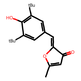 CC1=CC(=O)C(=Cc2cc(C(C)(C)C)c(O)c(C(C)(C)C)c2)O1